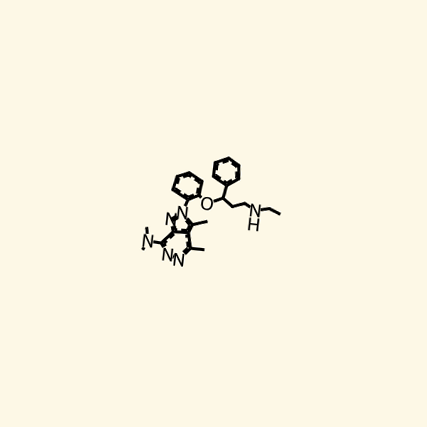 CCNCCC(Oc1ccccc1-n1nc2c(N(C)C)nnc(C)c2c1C)c1ccccc1